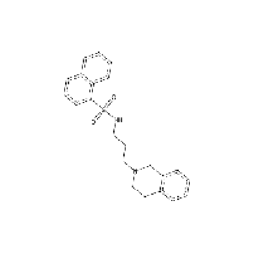 O=S(=O)(NCCCN1CCc2ccccc2C1)c1cccc2ccccc12